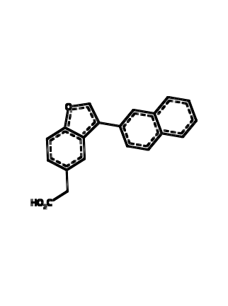 O=C(O)Cc1ccc2occ(-c3ccc4ccccc4c3)c2c1